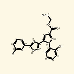 CSCOC(=O)c1cc(-c2noc(-c3cccc(C)c3)n2)n(-c2ccccc2Cl)n1